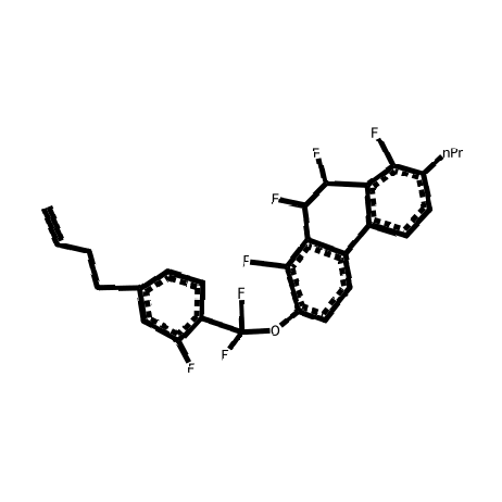 C=CCCc1ccc(C(F)(F)Oc2ccc3c(c2F)C(F)C(F)c2c-3ccc(CCC)c2F)c(F)c1